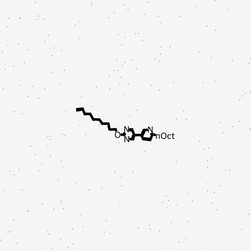 C=CCCCCCCCCOc1ncc(-c2ccc(CCCCCCCC)nc2)cn1